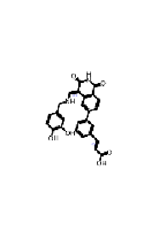 O=C(O)/C=C/c1cccc(-c2ccc3c(c2)/C(=C\NCc2ccc(O)c(O)c2)C(=O)NC3=O)c1